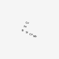 [B].[Co].[Cu].[Fe].[Nb].[Si]